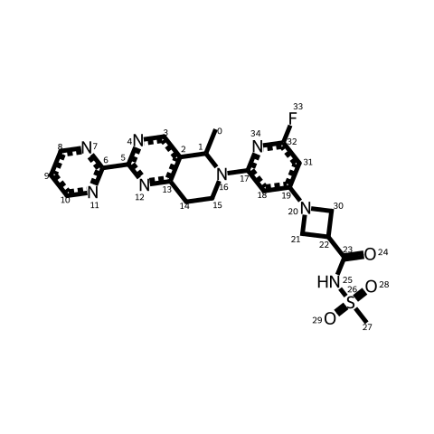 CC1c2cnc(-c3ncccn3)nc2CCN1c1cc(N2CC(C(=O)NS(C)(=O)=O)C2)cc(F)n1